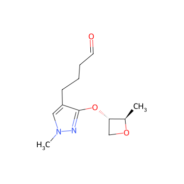 C[C@H]1OC[C@@H]1Oc1nn(C)cc1CCCC=O